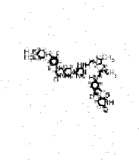 C[C@@H]1CN(CCNc2cc(N3CCC4(CC3)CN(c3cc(F)c(CN5CCC(C)(C)CC5)cc3F)CC(=O)N4)ncn2)C[C@@H]1CN(C)CCNc1ccc2c(c1)CN(C1CCC(=O)NC1=O)C2=O